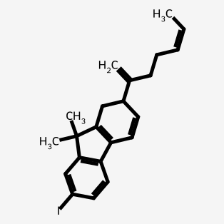 C=C(CC/C=C\C)C1C=CC2=C(C1)C(C)(C)c1cc(I)ccc12